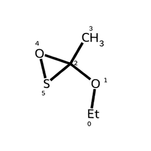 CCOC1(C)OS1